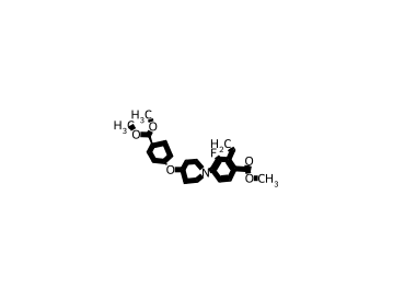 C=Cc1c(C(=O)OC)ccc(N2CCC(O[C@H]3CC[C@H](C(OC)OC)CC3)CC2)c1F